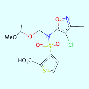 COC(C)OCN(c1onc(C)c1Cl)S(=O)(=O)c1ccsc1C(=O)O